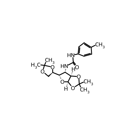 Cc1ccc(NC(=O)N[C@@H]2[C@H]3OC(C)(C)O[C@H]3O[C@@H]2[C@H]2COC(C)(C)O2)cc1